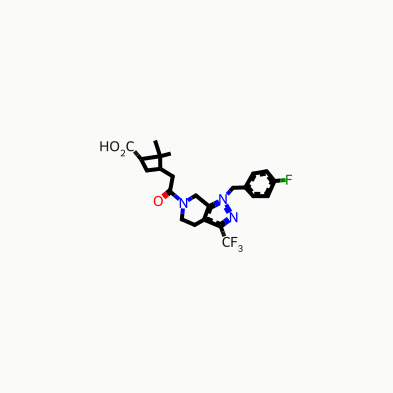 CC1(C)C(CC(=O)N2CCc3c(C(F)(F)F)nn(Cc4ccc(F)cc4)c3C2)CC1C(=O)O